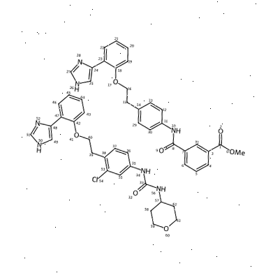 COC(=O)c1cccc(C(=O)Nc2ccc(CCOc3ccccc3-c3c[nH]cn3)cc2)c1.O=C(Nc1ccc(CCOc2ccccc2-c2c[nH]cn2)c(Cl)c1)NC1CCOCC1